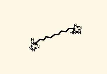 C(CCCCc1nnn[nH]1)CCCCc1nnn[nH]1